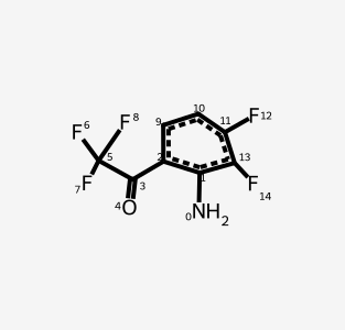 Nc1c(C(=O)C(F)(F)F)ccc(F)c1F